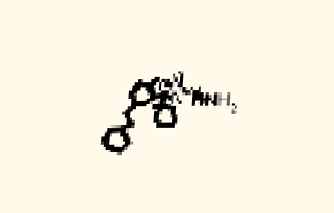 Cc1ccc(CCc2ccccc2)cc1C1(C2(C)CCCCC2)N=C(N=NN)N(C)O1